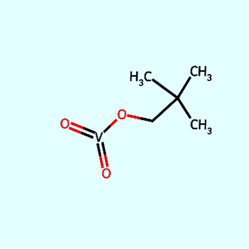 CC(C)(C)C[O][V](=[O])=[O]